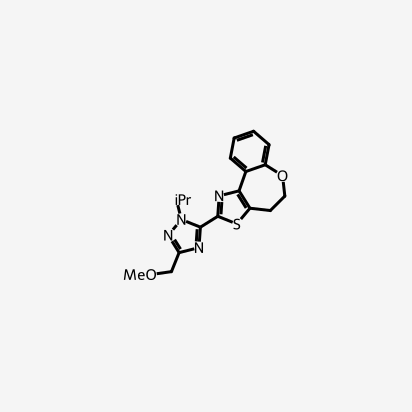 COCc1nc(-c2nc3c(s2)CCOc2ccccc2-3)n(C(C)C)n1